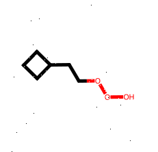 OOOCCC1CCC1